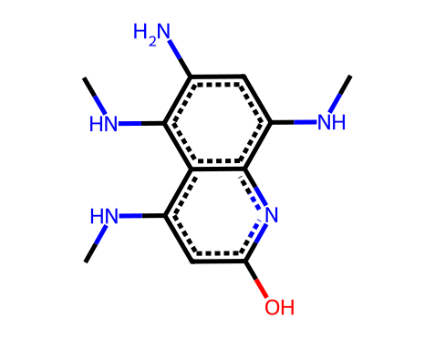 CNc1cc(N)c(NC)c2c(NC)cc(O)nc12